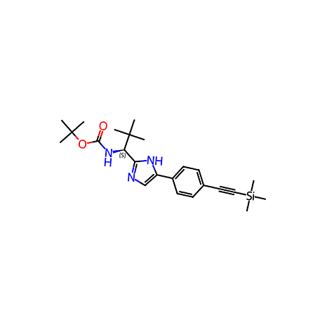 CC(C)(C)OC(=O)N[C@H](c1ncc(-c2ccc(C#C[Si](C)(C)C)cc2)[nH]1)C(C)(C)C